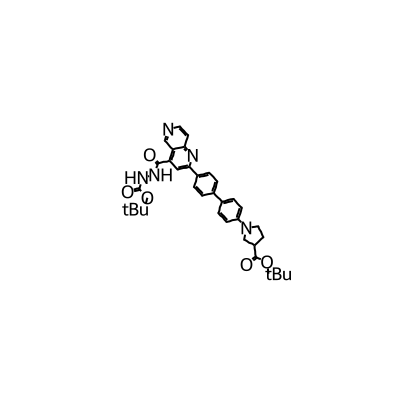 CC(C)(C)OC(=O)NNC(=O)c1cc(-c2ccc(-c3ccc(N4CCC(C(=O)OC(C)(C)C)C4)cc3)cc2)nc2ccncc12